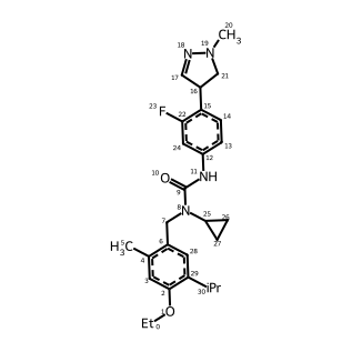 CCOc1cc(C)c(CN(C(=O)Nc2ccc(C3C=NN(C)C3)c(F)c2)C2CC2)cc1C(C)C